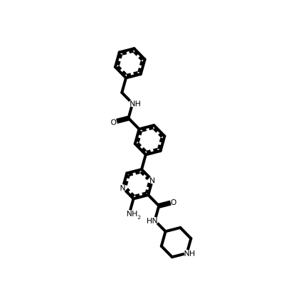 Nc1ncc(-c2cccc(C(=O)NCc3ccccc3)c2)nc1C(=O)NC1CCNCC1